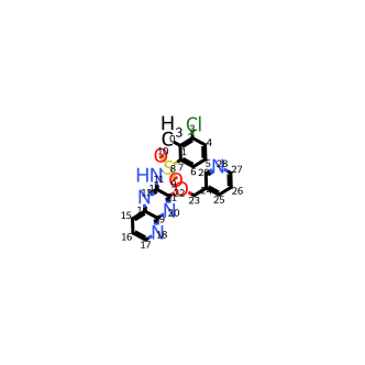 Cc1c(Cl)cccc1S(=O)(=O)Nc1nc2cccnc2nc1OCc1cccnc1